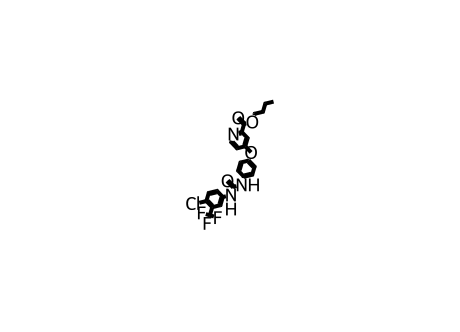 CCCCOC(=O)c1cc(Oc2ccc(NC(=O)Nc3ccc(Cl)c(C(F)(F)F)c3)cc2)ccn1